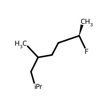 CC(C)CC(C)CC[C@@H](C)F